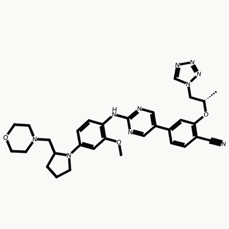 COc1cc(N2CCCC2CN2CCOCC2)ccc1Nc1ncc(-c2ccc(C#N)c(O[C@@H](C)Cn3cnnn3)c2)cn1